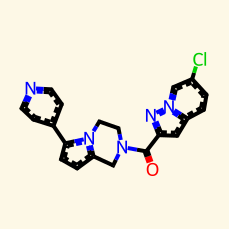 O=C(c1cc2ccc(Cl)cn2n1)N1CCn2c(ccc2-c2ccncc2)C1